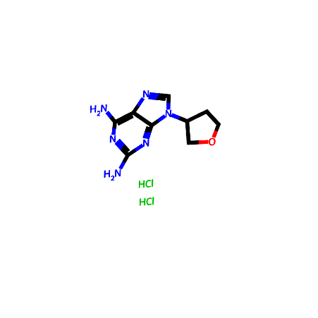 Cl.Cl.Nc1nc(N)c2ncn(C3CCOC3)c2n1